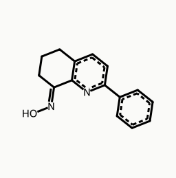 ON=C1CCCc2ccc(-c3ccccc3)nc21